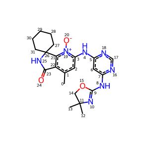 Cc1cc(Nc2cc(NC3=NC(C)(C)CO3)ncn2)[n+]([O-])c2c1C(=O)NC21CCCCC1